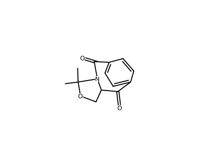 CC1(C)OCC2C(=O)c3ccc(cc3)C(=O)N21